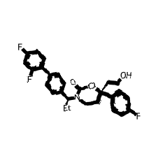 CC[C@@H](c1ccc(-c2ccc(F)cc2F)cc1)N1CC[C@@](CCO)(c2ccc(F)cc2)OC1=O